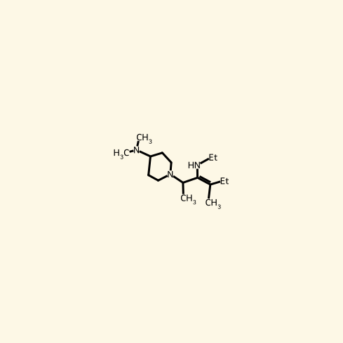 CCN/C(=C(/C)CC)C(C)N1CCC(N(C)C)CC1